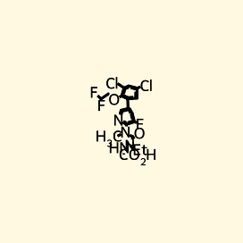 CCN(NC(=O)O)C(=O)N(C)c1ncc(-c2cc(Cl)cc(Cl)c2OCC(F)F)cc1F